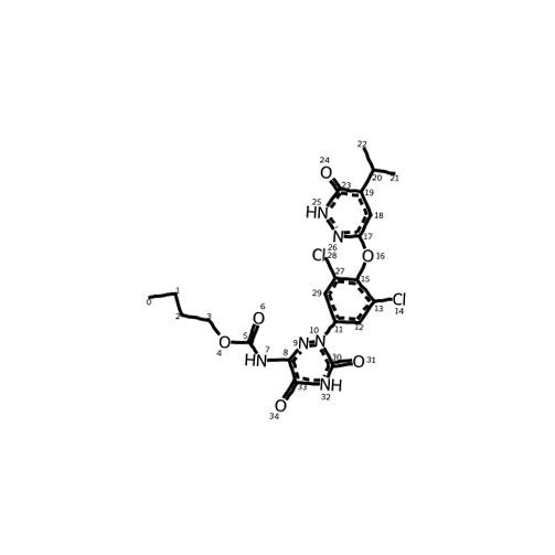 CCCCOC(=O)Nc1nn(-c2cc(Cl)c(Oc3cc(C(C)C)c(=O)[nH]n3)c(Cl)c2)c(=O)[nH]c1=O